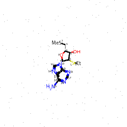 CCS[C@@H]1[C@H](O)[C@@H](CSC)O[C@H]1n1cnc2c(N)ncnc21